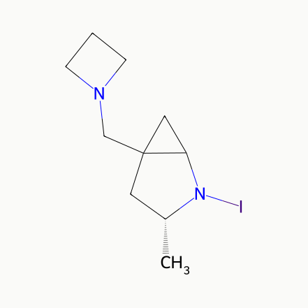 C[C@@H]1CC2(CN3CCC3)CC2N1I